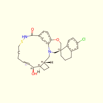 O=C1NSCCC/C=C/[C@H](O)[C@@H]2CC[C@H]2CN2C[C@@]3(CCCc4cc(Cl)ccc43)COc3ccc1cc32